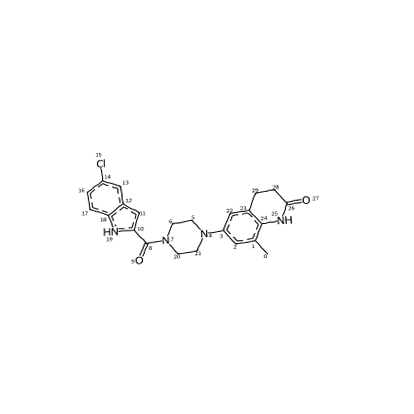 Cc1cc(N2CCN(C(=O)c3cc4cc(Cl)ccc4[nH]3)CC2)cc2c1NC(=O)CC2